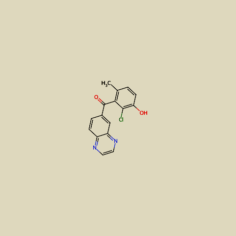 Cc1ccc(O)c(Cl)c1C(=O)c1ccc2nccnc2c1